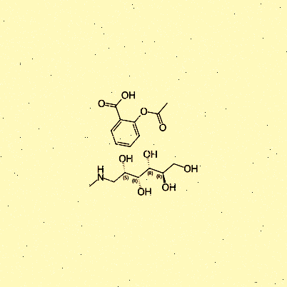 CC(=O)Oc1ccccc1C(=O)O.CNC[C@H](O)[C@@H](O)[C@H](O)[C@H](O)CO